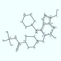 CCn1ncc2c(NC3CCOCC3)c(CN3CCC(C(=O)OC(C)(C)C)CC3)c(C)nc21